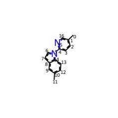 Cc1ccc(-n2ccc3cc(C)ccc32)nc1